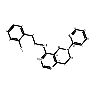 Clc1ccccc1CCNc1ncnc2c1CN(c1ccccn1)CC2